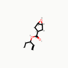 C=CC(CC)OC(=O)C1CC2OC2C1